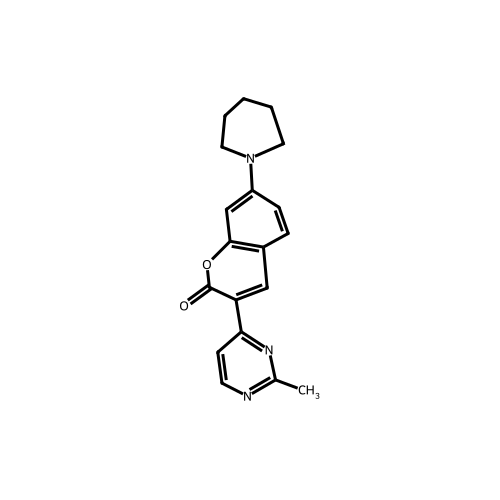 Cc1nccc(-c2cc3ccc(N4CCCCC4)cc3oc2=O)n1